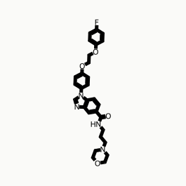 O=C(NCCCN1CCOCC1)c1ccc2c(c1)ncn2-c1ccc(OCCOc2ccc(F)cc2)cc1